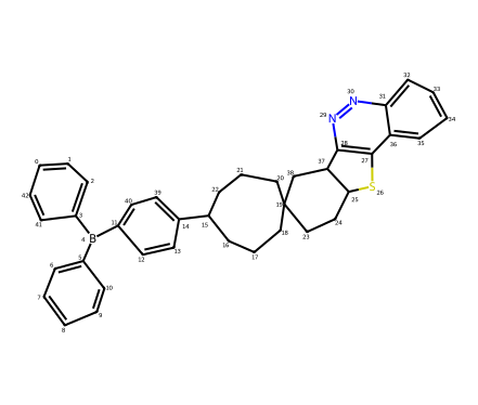 c1ccc(B(c2ccccc2)c2ccc(C3CCCC4(CCC3)CCC3Sc5c(nnc6ccccc56)C3C4)cc2)cc1